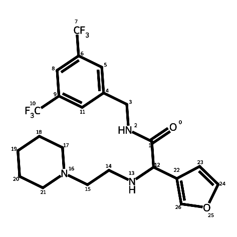 O=C(NCc1cc(C(F)(F)F)cc(C(F)(F)F)c1)C(NCCN1CCCCC1)c1ccoc1